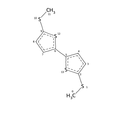 CSc1ccc(-c2ccc(SC)s2)s1